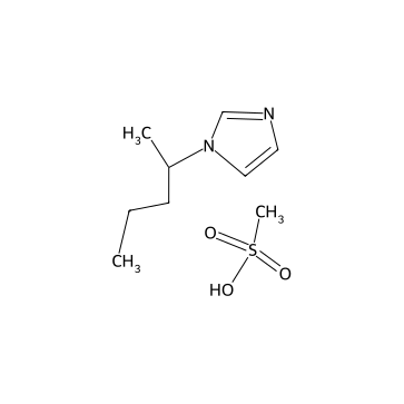 CCCC(C)n1ccnc1.CS(=O)(=O)O